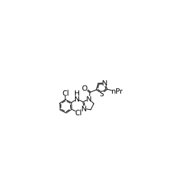 CCCc1ncc(C(=O)N2CCN=C2Nc2c(Cl)cccc2Cl)s1